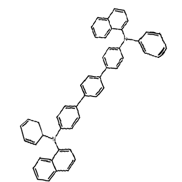 C1=CCC(N(c2ccc(-c3ccc(-c4ccc(N(c5ccccc5)c5cccc6ccccc56)cc4)cc3)cc2)c2cccc3ccccc23)C=C1